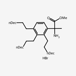 Br.CCCCCCCCCCCCc1ccc(C(C)(N)C(=O)OC)c(CCCCCCCCCCCC)c1CCCCCCCCCCCC